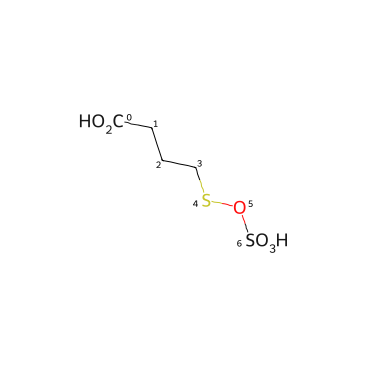 O=C(O)CCCSOS(=O)(=O)O